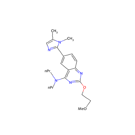 CCCN(CCC)c1nc(OCCOC)nc2ccc(-c3ncc(C)n3C)cc12